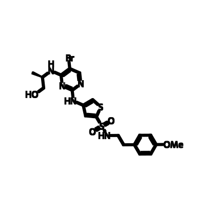 COc1ccc(CCNS(=O)(=O)c2cc(Nc3ncc(Br)c(N[C@H](C)CO)n3)cs2)cc1